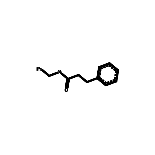 CC(C)C[N]C(=O)CCc1ccccc1